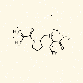 C=C(C)C(=O)N1CCCC1CN(C)C(CC(C)C)C(N)=O